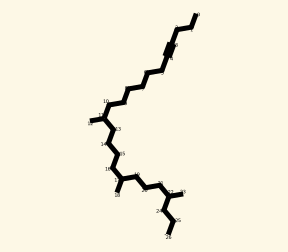 [CH2]CCC#CCCCCCCC(C)CCCCC(C)CCCC(C)CC[CH2]